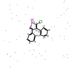 Clc1[pH]cc(-c2ccccc2)c1-c1ccccc1